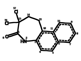 O=C1Nc2ccc3ccccc3c2CCC1(Cl)Cl